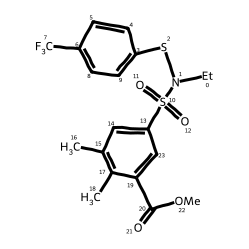 CCN(Sc1ccc(C(F)(F)F)cc1)S(=O)(=O)c1cc(C)c(C)c(C(=O)OC)c1